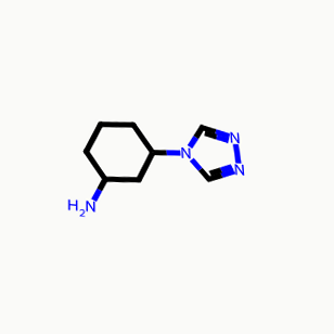 NC1CCCC(n2cnnc2)C1